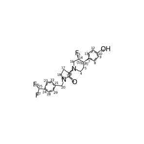 O=C1[C@H](N2CC[C@H](c3ccc(O)cc3)[C@H](F)C2)CCN1Cc1ccc(C(F)F)cc1